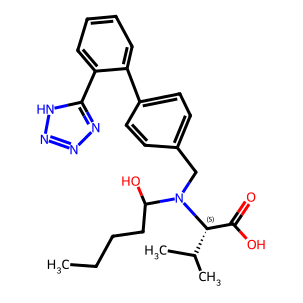 CCCCC(O)N(Cc1ccc(-c2ccccc2-c2nnn[nH]2)cc1)[C@H](C(=O)O)C(C)C